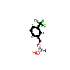 OBOCc1cccc(C(F)(F)F)c1